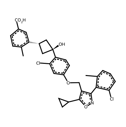 Cc1cccc(Cl)c1-c1noc(C2CC2)c1COc1ccc([C@]2(O)C[C@H](c3cc(C(=O)O)ccc3C)C2)c(Cl)c1